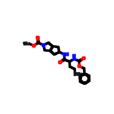 CSCCC(NC(=O)OCc1ccccc1)C(=O)NC1CC2CN(C(=O)OC(C)(C)C)CC2C1